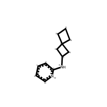 c1ccc(NC2CC3(CCC3)C2)nc1